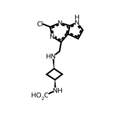 O=C(O)N[C@H]1C[C@@H](NCc2nc(Cl)nc3[nH]ccc23)C1